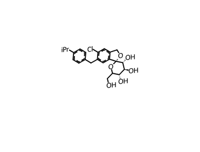 CC(C)c1ccc(Cc2cc3c(cc2Cl)CO[C@]32OC(CO)[C@@H](O)[C@H](O)[C@H]2O)cc1